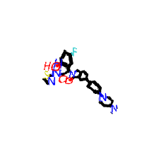 CN(C)C1CCN(c2ccc(-c3ccc4c(c3)C(=O)N(C(C(=O)Nc3nccs3)c3cc(F)ccc3O)C4)cc2)CC1